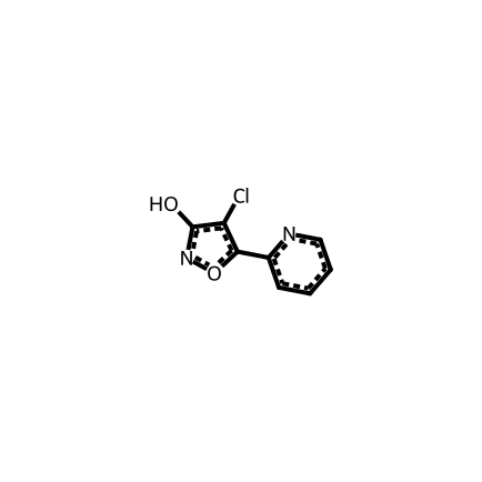 Oc1noc(-c2ccccn2)c1Cl